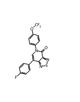 O=c1c2nsnc2c(-c2ccc(F)cc2)cn1-c1ccc(OC(F)(F)F)cc1